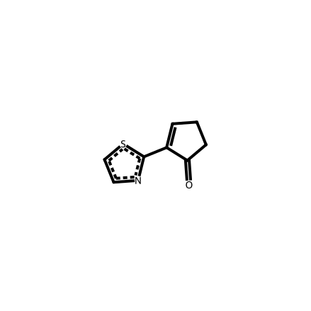 O=C1CCC=C1c1nccs1